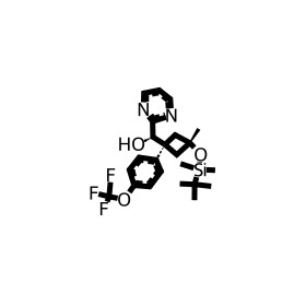 CC(C)(C)[Si](C)(C)O[C@]1(C)C[C@@](c2ccc(OC(F)(F)F)cc2)([C@H](O)c2ncccn2)C1